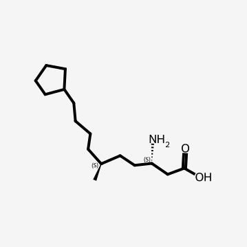 C[C@@H](CCCCC1CCCC1)CC[C@H](N)CC(=O)O